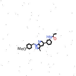 C=CC(=O)Nc1cccc(-c2cnc3c(c2)c(C)nn3Cc2ccc(OC)cc2)c1